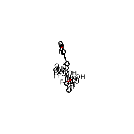 COC(=O)NC(C(=O)NC(Cc1ccc(C#Cc2ccc(N3CC4CCC(C3)N4C)nc2)cc1)C(O)CN(Cc1c(F)cc(-c2ccccn2)cc1F)NC(=O)C(NC(=O)O)C(C)(C)C(F)(F)F)C(C)(C)C(F)(F)F